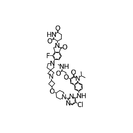 CNC(=O)COc1cc2cc(Nc3nc(N4CCC(OC5CC(N6CC7(CCN(c8ccc9c(c8F)CN([C@@H]8CCC(=O)NC8=O)C9=O)C7)C6)C5)CC4)ncc3Cl)ccc2n(C(C)C)c1=O